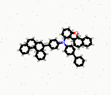 c1ccc(-c2ccc(N(c3ccc(-c4cc5ccc6ccccc6c5c5ccccc45)cc3)c3cccc4oc5c6ccccc6ccc5c34)cc2)cc1